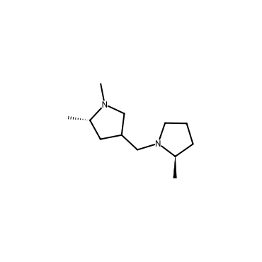 C[C@@H]1CCCN1CC1C[C@H](C)N(C)C1